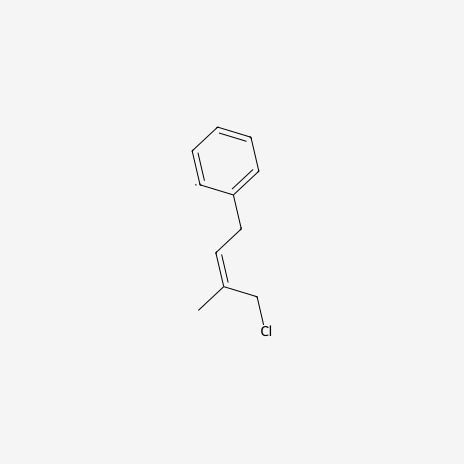 CC(=CCc1[c]cccc1)CCl